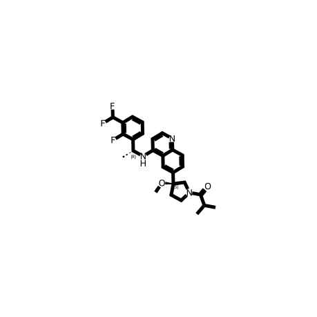 CO[C@]1(c2ccc3nccc(N[C@H](C)c4cccc(C(F)F)c4F)c3c2)CCN(C(=O)C(C)C)C1